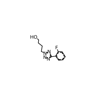 OCCCCn1nnc(-c2ccccc2F)n1